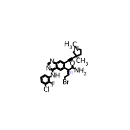 CN1CC[C@](C)(C#Cc2cc3ncnc(Nc4cccc(Cl)c4F)c3cc2/C(=C\CBr)C(N)=O)C1